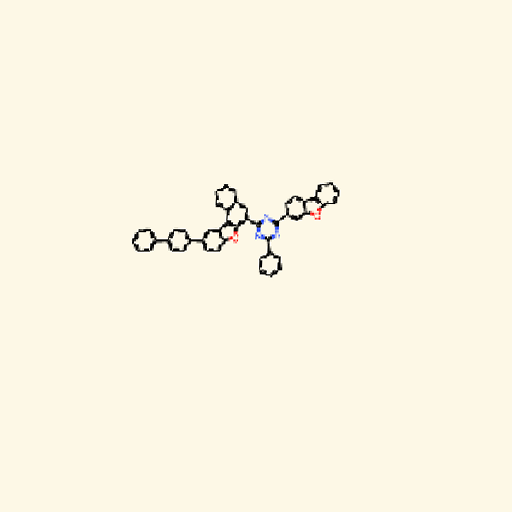 c1ccc(-c2ccc(-c3ccc4oc5c(-c6nc(-c7ccccc7)nc(-c7ccc8c(c7)oc7ccccc78)n6)cc6ccccc6c5c4c3)cc2)cc1